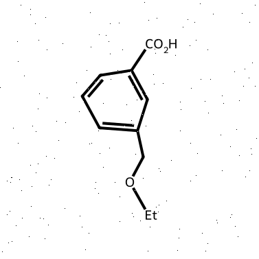 CCOCc1cccc(C(=O)O)c1